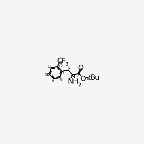 CC(C)(C)OC(=O)[C@@H](N)Cc1ccccc1C(F)(F)F